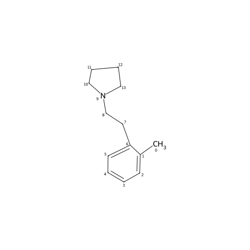 Cc1ccccc1CCN1CCCC1